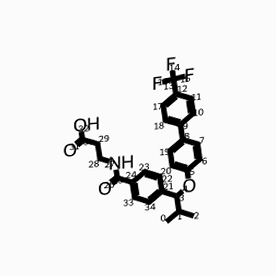 CC(C)C(Oc1ccc(-c2ccc(C(F)(F)F)cc2)cc1)c1ccc(C(=O)NCCC(=O)O)cc1